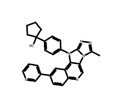 Cc1nnc2n(-c3ccc(C4(C#N)CCCC4)cc3)c3c4cc(-c5cccnc5)ccc4ncc3n12